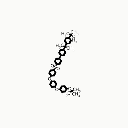 CC(C)(C)Oc1ccc(Oc2ccc(Oc3ccc(S(=O)(=O)c4ccc(-c5ccc(C(C)(C)c6ccc(C(C)(C)C)cc6)cc5)cc4)cc3)cc2)cc1